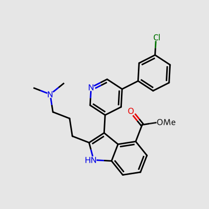 COC(=O)c1cccc2[nH]c(CCCN(C)C)c(-c3cncc(-c4cccc(Cl)c4)c3)c12